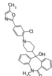 Cc1cnc(-c2ccc(N3CCC(C4(O)c5ccccc5C(=O)N(C)c5ccccc54)CC3)c(Cl)c2)o1